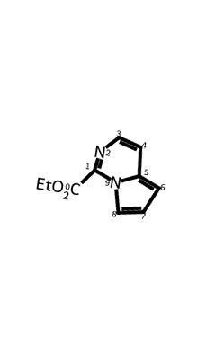 CCOC(=O)c1nccc2cccn12